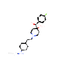 O=C(O)NC1CCC(CCN2CCC(O)(C(=O)c3ccc(F)cc3)CC2)CC1